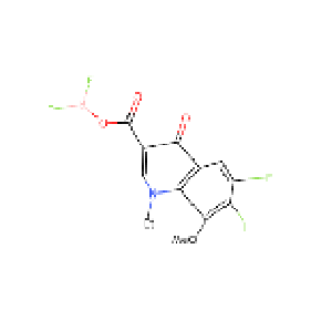 CCn1cc(C(=O)OB(F)F)c(=O)c2cc(F)c(F)c(OC)c21